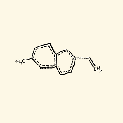 [CH2]c1ccc2cc(C=C)ccc2c1